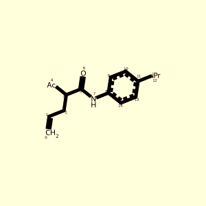 C=CCC(C(C)=O)C(=O)Nc1ccc(C(C)C)cc1